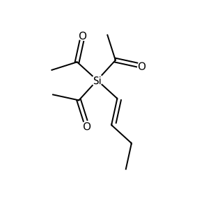 CC/C=C/[Si](C(C)=O)(C(C)=O)C(C)=O